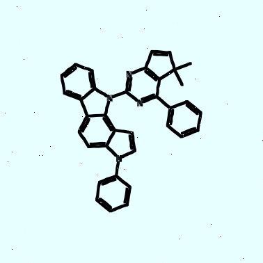 CC1(C)C=Cc2nc(-n3c4ccccc4c4ccc5c(ccn5-c5ccccc5)c43)nc(-c3ccccc3)c21